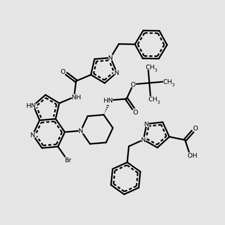 CC(C)(C)OC(=O)N[C@@H]1CCCN(c2c(Br)cnc3[nH]cc(NC(=O)c4cnn(Cc5ccccc5)c4)c23)C1.O=C(O)c1cnn(Cc2ccccc2)c1